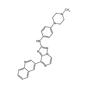 CN1CCN(c2ccc(Nc3nc4c(-c5cnc6ccccc6c5)nccn4n3)cc2)CC1